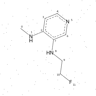 CNc1ccncc1NCCF